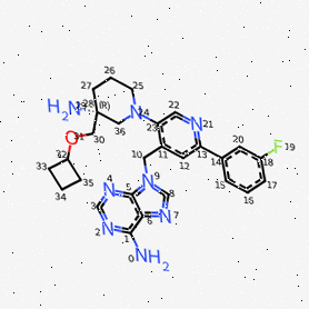 Nc1ncnc2c1ncn2Cc1cc(-c2cccc(F)c2)ncc1N1CCC[C@](N)(COC2CCC2)C1